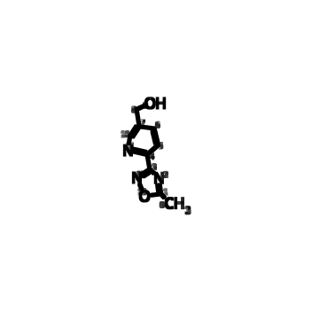 Cc1nc(-c2ccc(CO)cn2)no1